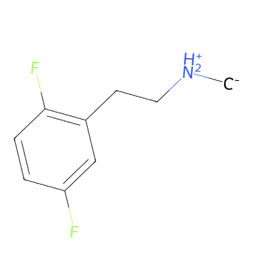 [CH2-][NH2+]CCc1cc(F)ccc1F